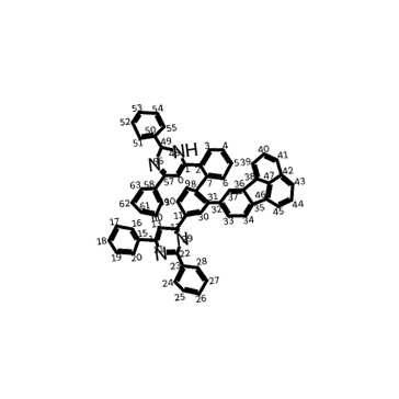 C1=C(c2ccccc2-c2ccc(-c3cc(-c4ccccc4)nc(-c4ccccc4)n3)cc2-c2ccc3c(c2)-c2cccc4cccc-3c24)NC(c2ccccc2)N=C1c1ccccc1